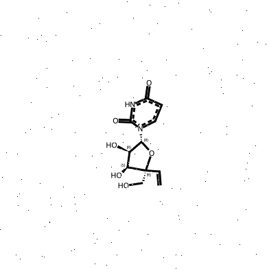 C=C[C@]1(CO)O[C@@H](n2ccc(=O)[nH]c2=O)[C@H](O)[C@@H]1O